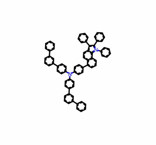 c1ccc(-c2cccc(-c3ccc(N(c4ccc(-c5cccc(-c6ccccc6)c5)cc4)c4ccc(-c5cccc6c5ccc5c(-c7ccccc7)c(-c7ccccc7)n(-c7ccccc7)c56)cc4)cc3)c2)cc1